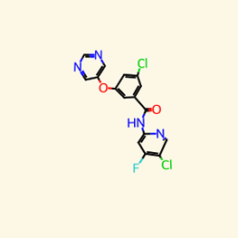 O=C(Nc1cc(F)c(Cl)cn1)c1cc(Cl)cc(Oc2cncnc2)c1